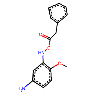 COc1ccc(N)cc1NOC(=O)Cc1ccccc1